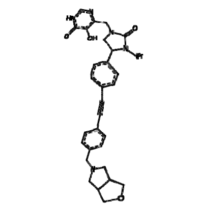 CC(C)N1C(=O)N(Cc2nc[nH]c(=O)c2O)CC1c1ccc(C#Cc2ccc(CN3CC4COCC4C3)cc2)cc1